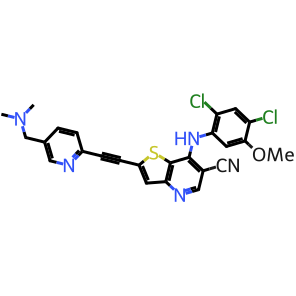 COc1cc(Nc2c(C#N)cnc3cc(C#Cc4ccc(CN(C)C)cn4)sc23)c(Cl)cc1Cl